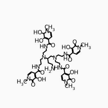 CN1C=CC(C(=O)NCCN(CCNC(=O)c2ccn(C)c(=O)c2O)C(CCN)CN(CCNC(=O)c2ccn(C)c(=O)c2O)CCNC(=O)c2ccn(C)c(=O)c2O)=C(O)C1O